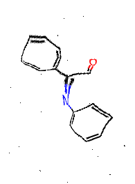 O=CC(=Nc1ccccc1)c1ccccc1